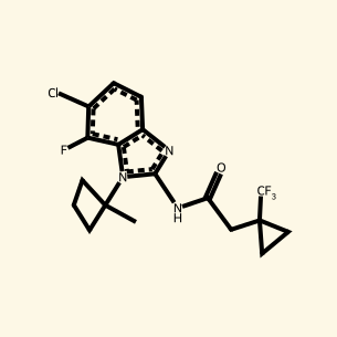 CC1(n2c(NC(=O)CC3(C(F)(F)F)CC3)nc3ccc(Cl)c(F)c32)CCC1